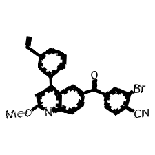 C=Cc1cccc(-c2cc(OC)nc3ccc(C(=O)c4ccc(C#N)c(Br)c4)cc23)c1